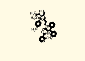 Cc1ncccc1C(=O)N[C@H](C(=O)NCCCC[C@@H](CO)N(CC(C)C)S(=O)(=O)c1ccc(N)cc1)C(c1ccccc1)c1ccccc1